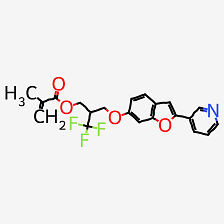 C=C(C)C(=O)OCC(COc1ccc2cc(-c3cccnc3)oc2c1)C(F)(F)F